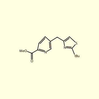 COC(=O)c1ccc(Cc2csc(C(C)(C)C)n2)cn1